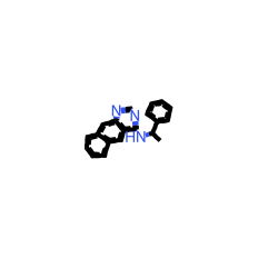 CC(Nc1ncnc2cc3ccccc3cc12)c1ccccc1